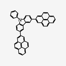 c1ccc(-n2c3ccc(-c4cc5ccc6cccc7ccc(c4)c5c67)cc3c3cc(-c4cc5ccc6cccc7ccc(c4)c5c67)ccc32)cc1